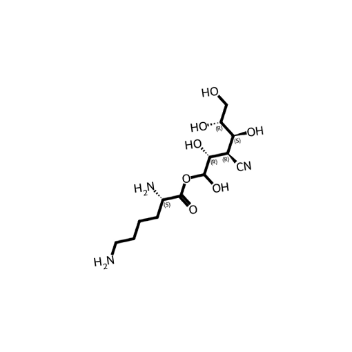 N#C[C@H]([C@H](O)[C@H](O)CO)[C@@H](O)C(O)OC(=O)[C@@H](N)CCCCN